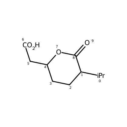 CC(C)C1CCC(CC(=O)O)OC1=O